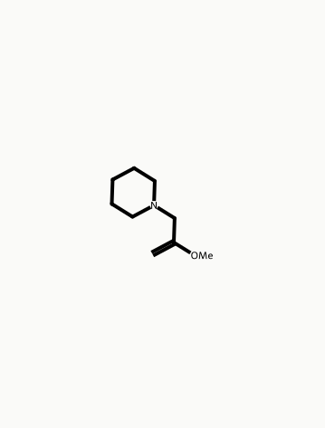 C=C(CN1CCCCC1)OC